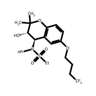 CCCN([C@@H]1c2cc(OCCCC(F)(F)F)ccc2OC(C)(C)[C@H]1O)S(=O)(=O)CC